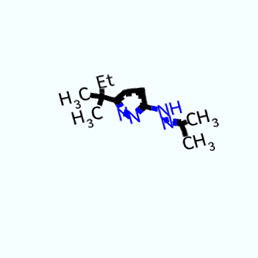 CCC(C)(C)c1ccc(NN=C(C)C)nn1